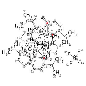 CC(C)c1cccc(C(C)C)c1N1CCN(c2c(C(C)C)cccc2C(C)C)[C]1=[Cu]=[C]1N(c2c(C(C)C)cccc2C(C)C)CCN1c1c(C(C)C)cccc1C(C)C.F[B-](F)(F)F